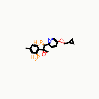 Cc1ccc(C2(C(P)c3ccc(OCC4CC4)cn3)CO2)c(P)c1